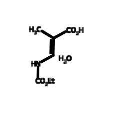 CCOC(=O)NC=C(C)C(=O)O.O